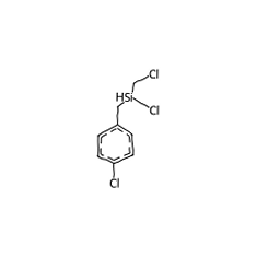 ClC[SiH](Cl)Cc1ccc(Cl)cc1